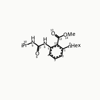 CCCCCCc1cccc(NC(=O)NC(C)C)c1C(=O)OC